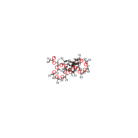 C=C(C)C(=O)OC(C)COC(C)COC(C)COC(C)COC(C)COC(C)COC(C)COC1=CC2=CC=C1C2C1(C)C2=CC=C1C(OCC(C)OCC(C)OCC(C)OCC(C)OCC(C)OCC(C)OCC(C)OC(=O)C(=C)C)=C2